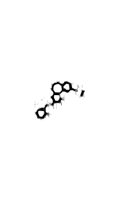 O=C(Nc1cnc2c(c1)CCCc1ccc(-c3nccs3)cc1-2)c1c(F)cccc1F